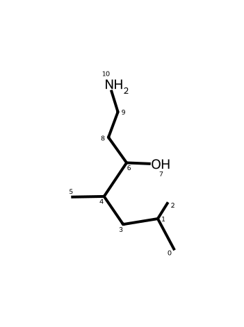 CC(C)CC(C)C(O)CCN